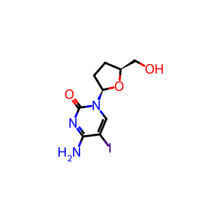 Nc1nc(=O)n([C@H]2CC[C@@H](CO)O2)cc1I